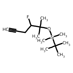 C#CCC(F)C(C)(C)O[Si](C)(C)C(C)(C)C